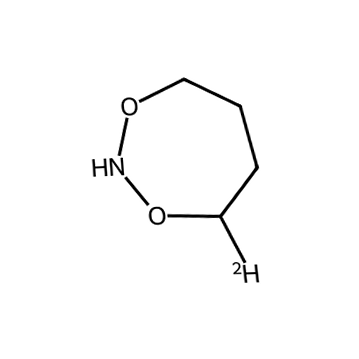 [2H]C1CCCONO1